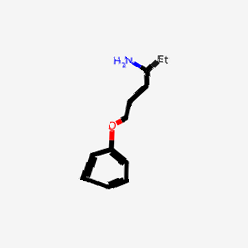 CCC(N)CCCOc1ccccc1